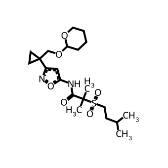 CC(C)CCS(=O)(=O)C(C)(C)C(=O)Nc1cc(C2(COC3CCCCO3)CC2)no1